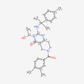 Cc1ccc(C(=O)N2CCc3nc(NC(C)(C)c4ccc(C(F)(F)F)cc4)n(C(C)O)c(=O)c3C2)cc1C